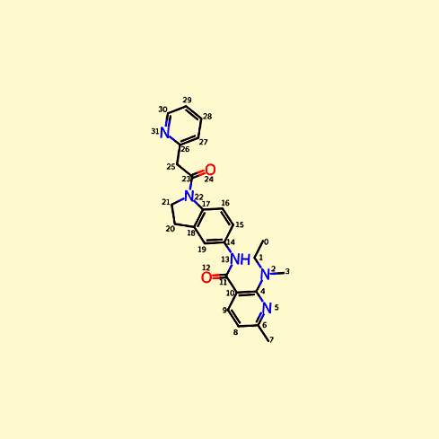 CCN(C)c1nc(C)ccc1C(=O)Nc1ccc2c(c1)CCN2C(=O)Cc1ccccn1